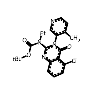 CCN(C(=O)OC(C)(C)C)c1nc2cccc(Cl)c2c(=O)n1-c1cnccc1C